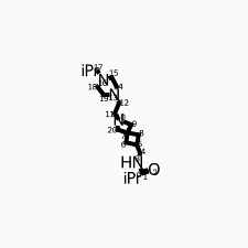 CC(C)C(=O)NCC1CC2(C1)CN(CCN1CCN(C(C)C)CC1)C2